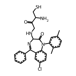 Cc1ccc(C)c(N2C(=O)C(NCC(=O)C(N)CS)N=C(c3ccccc3)c3cc(Cl)ccc32)c1